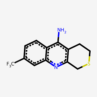 Nc1c2c(nc3cc(C(F)(F)F)ccc13)CSCC2